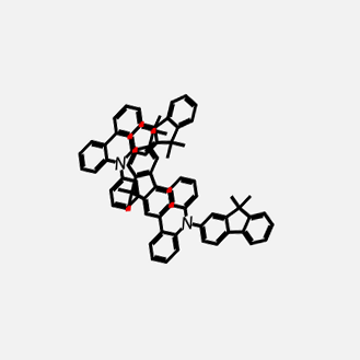 CC1(C)c2ccccc2-c2ccc(N(c3ccccc3)c3ccccc3-c3ccc4c(c3)C(C)(C)c3cc5c(cc3-4)C(C)(C)c3cccc(-c4ccccc4N(c4ccccc4)c4ccc6c(c4)C(C)(C)c4ccccc4-6)c3-5)cc21